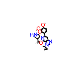 COc1ccc(-c2cc3ncn(C4(C)CC4)c3c(O[C@H](C)C3CNC(=O)C3)n2)cc1OC